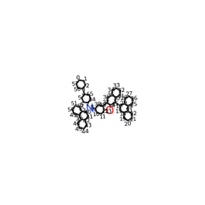 c1ccc(-c2ccc(N(c3ccc4oc5c(-c6cc7ccccc7c7ccccc67)c6ccccc6cc5c4c3)c3cc4ccccc4c4ccccc34)cc2)cc1